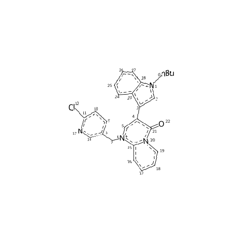 CCCCn1cc(-c2c[n+](Cc3ccc(Cl)nc3)c3ccccn3c2=O)c2ccccc21